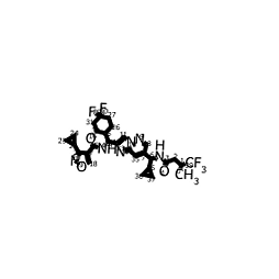 CC(CC(=O)NC(c1cnn2cc([C@@H](NC(=O)c3conc3C3CC3)C3CCC(F)(F)CC3)nc2c1)C1CC1)C(F)(F)F